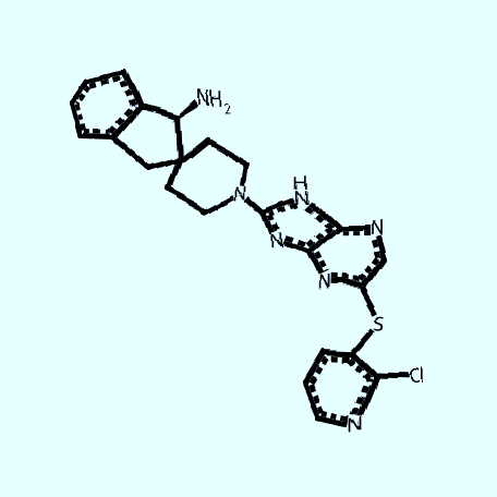 N[C@@H]1c2ccccc2CC12CCN(c1nc3nc(Sc4cccnc4Cl)cnc3[nH]1)CC2